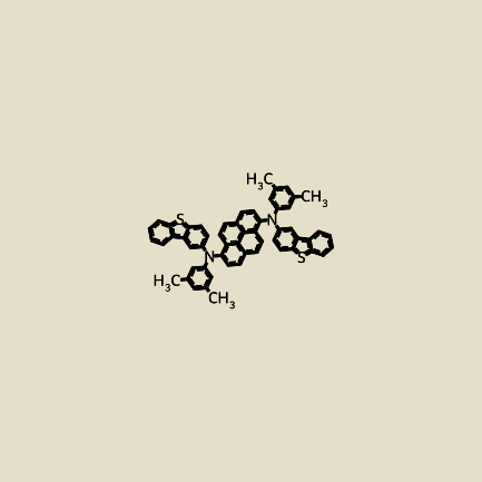 Cc1cc(C)cc(N(c2ccc3sc4ccccc4c3c2)c2ccc3ccc4c(N(c5cc(C)cc(C)c5)c5ccc6sc7ccccc7c6c5)ccc5ccc2c3c54)c1